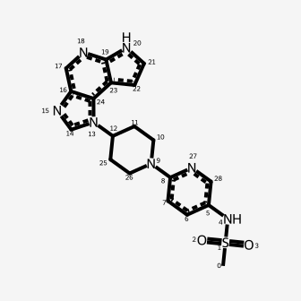 CS(=O)(=O)Nc1ccc(N2CCC(n3cnc4cnc5[nH]ccc5c43)CC2)nc1